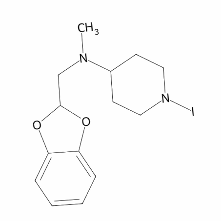 CN(CC1Oc2ccccc2O1)C1CCN(I)CC1